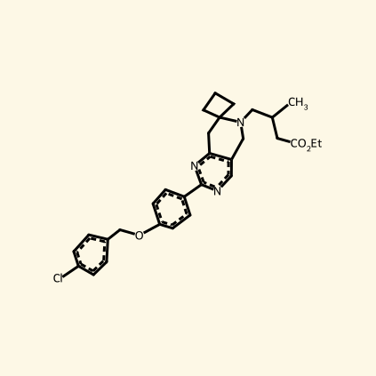 CCOC(=O)CC(C)CN1Cc2cnc(-c3ccc(OCc4ccc(Cl)cc4)cc3)nc2CC12CCC2